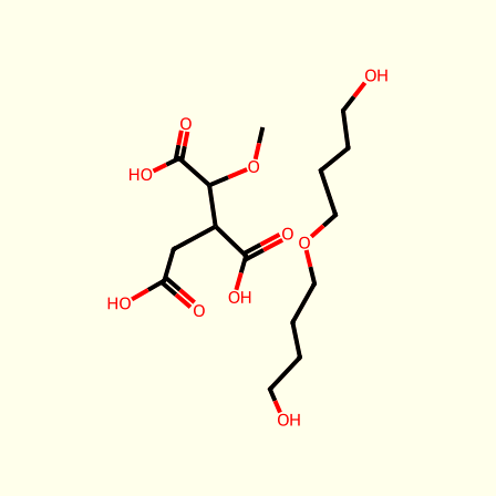 COC(C(=O)O)C(CC(=O)O)C(=O)O.OCCCCOCCCCO